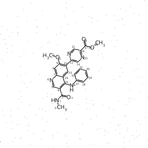 CNC(=O)c1cnc2cc(OC)c(-c3cnc(C(=O)OC)cn3)cc2c1Nc1ccccc1